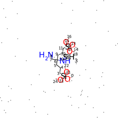 CO[Si](CCCC(CN)(CCC[Si](OC)(OC)OC)N[SiH3])(OC)OC